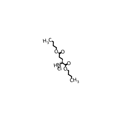 CCCCOC(=O)CC[C@H](NCl)C(=O)OCCCC